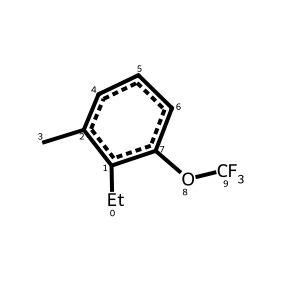 CCc1c(C)cccc1OC(F)(F)F